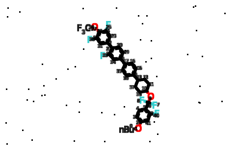 CCCCOc1ccc(C(F)(F)OC2CCC(c3ccc(-c4ccc(-c5cc(F)c(OC(F)(F)F)c(F)c5)c(F)c4)cc3)CC2)c(F)c1